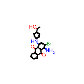 CC(O)c1ccc(Nc2cc(Br)c(N)c3c2C(=O)c2ccccc2C3=O)cc1